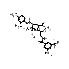 Cc1ccc(CNC(CC(NC(=O)CNC(=O)c2cc(N)cc(C(F)(F)F)c2)C(N)=O)C(C)(C)C)c(C)c1